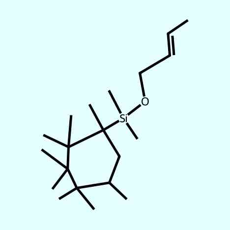 CC=CCO[Si](C)(C)C1(C)CC(C)C(C)(C)C(C)(C)C1(C)C